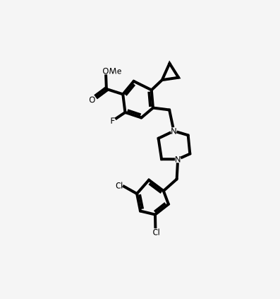 COC(=O)c1cc(C2CC2)c(CN2CCN(Cc3cc(Cl)cc(Cl)c3)CC2)cc1F